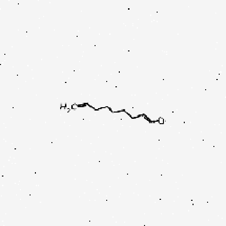 C=CCCCCC/C=C/[O]